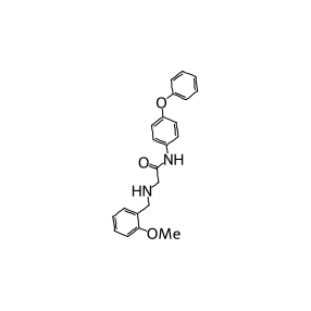 COc1ccccc1CNCC(=O)Nc1ccc(Oc2ccccc2)cc1